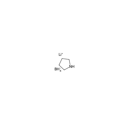 C1CCNC1.[BH4-].[Li+]